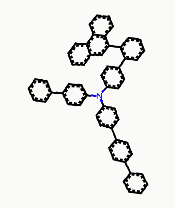 c1ccc(-c2ccc(-c3ccc(N(c4ccc(-c5ccccc5)cc4)c4ccc(-c5ccccc5-c5cc6ccccc6c6ccccc56)cc4)cc3)cc2)cc1